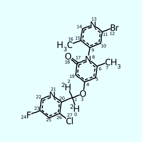 [2H]C([2H])(Oc1cc(C)n(-c2cc(Br)ncc2C)c(=O)c1)c1ncc(F)cc1Cl